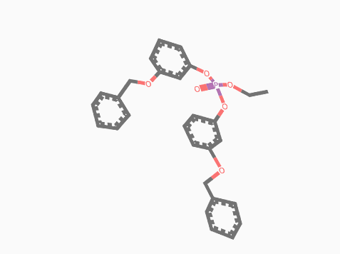 CCOP(=O)(Oc1cccc(OCc2ccccc2)c1)Oc1cccc(OCc2ccccc2)c1